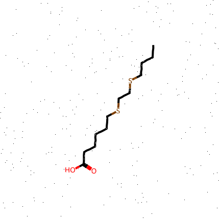 CCCCSCCSCCCCCC(=O)O